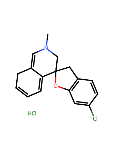 CN1C=C2CC=CC=C2C2(Cc3ccc(Cl)cc3O2)C1.Cl